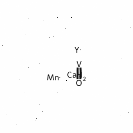 [CaH2].[Mn].[O]=[V].[Y]